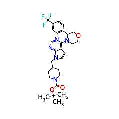 CC(C)(C)OC(=O)N1CCC(Cn2ccc3c(N4CCOCC4c4ccc(C(F)(F)F)cc4)ncnc32)CC1